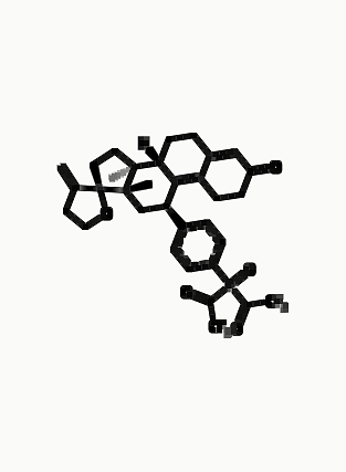 C=C1CCO[C@]12CC[C@@]1(C)[C@@H]3CCC4=CC(=O)CCC4=C3[C@@H](c3ccc(P(=O)(C(=O)C(F)(F)F)C(=O)C(F)(F)F)cc3)C[C@@]12C